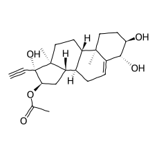 C#C[C@]1(O)[C@H](OC(C)=O)C[C@H]2[C@@H]3CC=C4[C@@H](O)[C@H](O)CC[C@]4(C)[C@H]3CC[C@@]21C